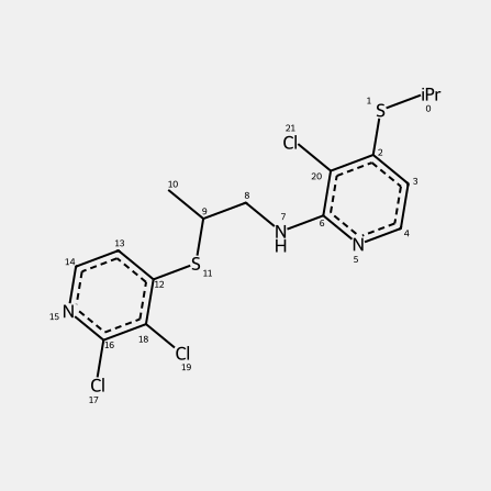 CC(C)Sc1ccnc(NCC(C)Sc2ccnc(Cl)c2Cl)c1Cl